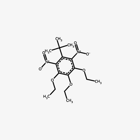 CCOc1c(OCC)c([N+](=O)[O-])c(C(C)(C)C)c([N+](=O)[O-])c1OCC